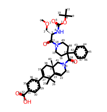 COC[C@H](NC(=O)OC(C)(C)C)C(=O)N1CCC(C(=O)N2CC=C3C(C)(C)C(c4ccc(C(=O)O)cc4)=CC[C@]3(C)C2)(c2ccccc2)CC1